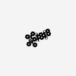 O=C1c2ccc3c(=O)n4c5cc(-c6nc7ccccc7n6-c6ccccc6)c(-c6nc7ccccc7n6-c6ccccc6)cc5nc4c4ccc(c2c34)C(=O)N1c1cccc2ccccc12